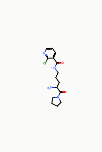 N[C@@H](CCCNC(=O)c1cccnc1Cl)C(=O)N1CCCC1